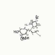 C=C(C)C[C@@H](c1ccc(O)c(OC)c1)c1cc(C)c(CC)cc1C